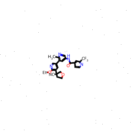 CCOc1ncc(-c2cc(NC(=O)c3ccnc(C(F)(F)F)c3)cnc2C)cc1C1(C#N)CCOC1